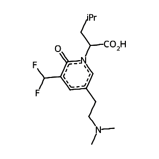 CC(C)CC(C(=O)O)n1cc(CCN(C)C)cc(C(F)F)c1=O